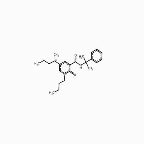 CCCCn1cc([C@@H](C)CCC)cc(C(=O)NC(C)(C)c2ccccc2)c1=O